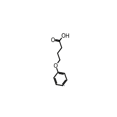 O=C(O)CCCOc1cc[c]cc1